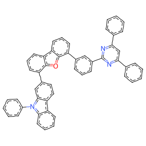 c1ccc(-c2cc(-c3ccccc3)nc(-c3cccc(-c4cccc5c4oc4c(-c6ccc7c8ccccc8n(-c8ccccc8)c7c6)cccc45)c3)n2)cc1